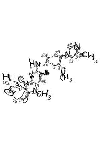 COc1cc(Nc2ncc3c(n2)N(C)C2(CCOCC2)C(=O)N3C)ccc1-n1cnc(C)c1